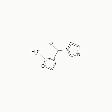 Cc1occc1C(=O)n1ccnc1